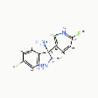 C[C@H](N)[C@](N)(c1ccc(F)cc1)c1ccc(F)nc1